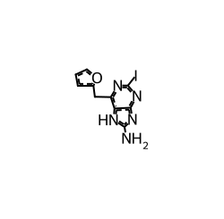 Nc1nc2nc(I)nc(Cc3ccco3)c2[nH]1